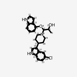 CC(O)C(Oc1cccc2[nH]ccc12)N1CCC(c2c[nH]c3ccc(Cl)cc23)CC1